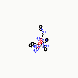 NCC(=O)N[C@H](Cc1ccc2ccccc2c1)C(=O)N[C@@H](Cc1c[nH]c2ccccc12)C(=O)N[C@H](Cc1ccccc1)C(=O)N[C@@H](CCCCNc1ccc2ccccc2n1)C(N)=O